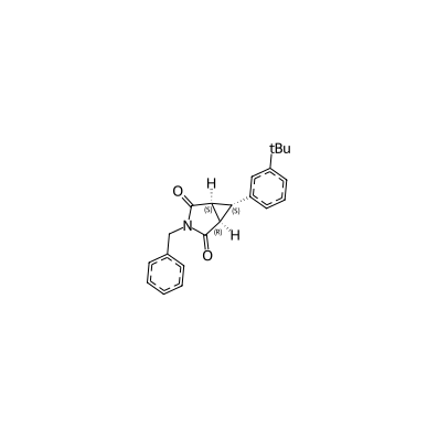 CC(C)(C)c1cccc([C@H]2[C@@H]3C(=O)N(Cc4ccccc4)C(=O)[C@@H]32)c1